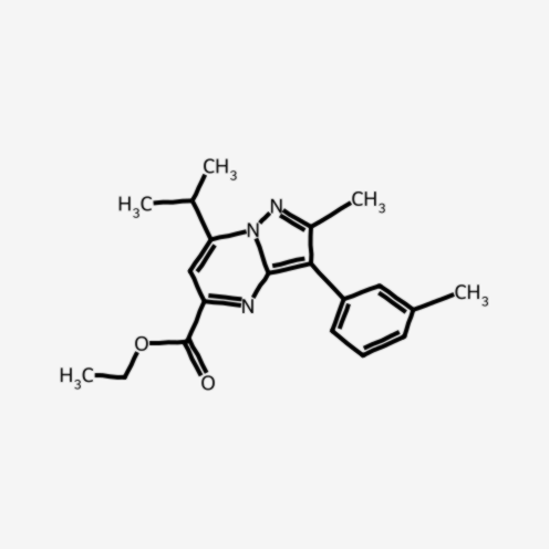 CCOC(=O)c1cc(C(C)C)n2nc(C)c(-c3cccc(C)c3)c2n1